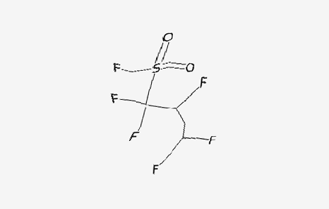 O=S(=O)(F)C(F)(F)C(F)C(F)F